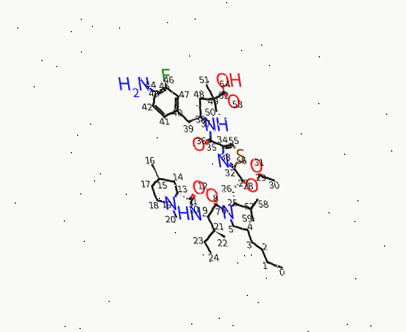 CCCCCCN(C(=O)[C@@H](NC(=O)[C@H]1C[C@H](C)CCN1C)[C@@H](C)CC)[C@H](C[C@@H](OC(C)=O)c1nc(C(=O)N[C@@H](Cc2ccc(N)c(F)c2)CC(C)(C)C(=O)O)cs1)C(C)C